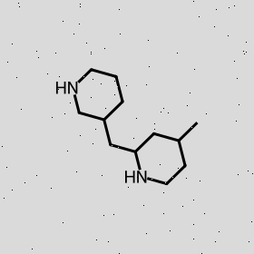 CC1CCNC(CC2CCCNC2)C1